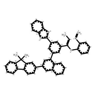 C=Nc1ccccc1O/C(=C/C)c1cc(-c2nc3ccccc3o2)cc(-c2cc(-c3ccc4c(c3)C(C)(C)c3ccccc3-4)cc3ccccc23)c1